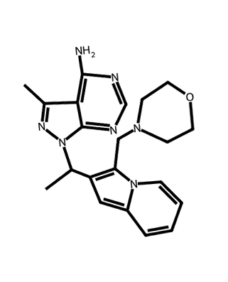 Cc1nn(C(C)c2cc3ccccn3c2CN2CCOCC2)c2ncnc(N)c12